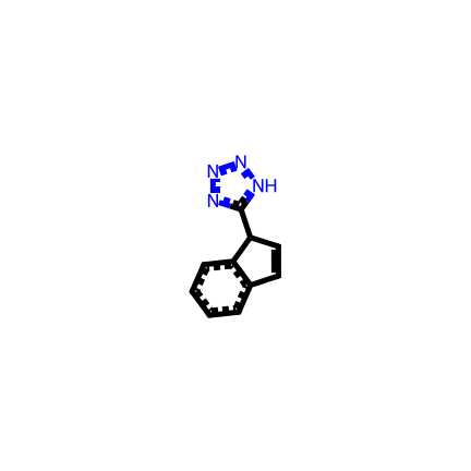 C1=CC(c2nnn[nH]2)c2ccccc21